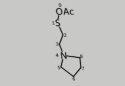 CC(=O)OSCCN1CCCC1